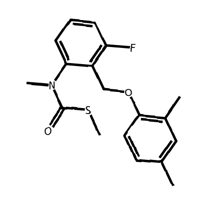 CSC(=O)N(C)c1cccc(F)c1COc1ccc(C)cc1C